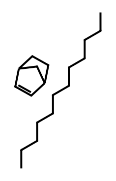 C1=CC2CCC1C2.CCCCCCCCCCCC